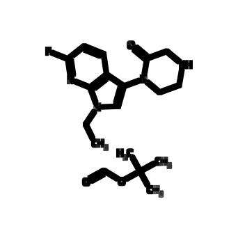 CC(C)(C)OC=O.CCn1cc(N2CCNCC2=O)c2ccc(F)nc21